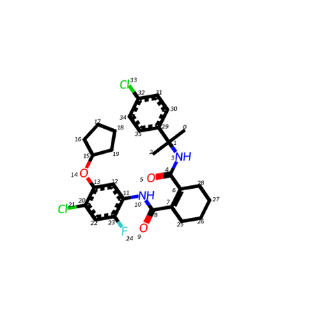 CC(C)(NC(=O)C1=C(C(=O)Nc2cc(OC3CCCC3)c(Cl)cc2F)CCCC1)c1ccc(Cl)cc1